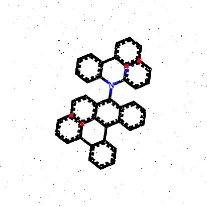 c1ccc(-c2ccccc2-c2c3ccccc3c(N(c3ccccn3)c3ccccc3-c3ccccc3)c3ccccc23)cc1